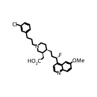 COc1ccc2nccc([C@@H](F)CC[C@@H]3CCN(CCCc4cccc(Cl)c4)C[C@@H]3CC(=O)O)c2c1